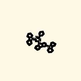 c1ccc(-c2nc(-n3c4ccccc4c4ccccc43)cc(-n3c4ccccc4c4cc(-n5c6ccccc6c6ccccc65)ccc43)n2)cc1